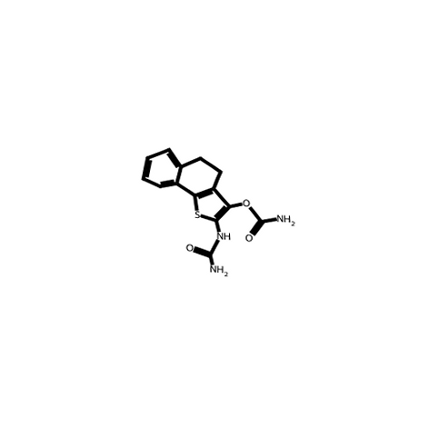 NC(=O)Nc1sc2c(c1OC(N)=O)CCc1ccccc1-2